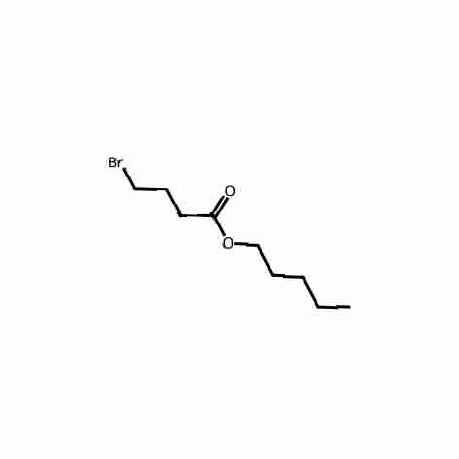 CCCCCOC(=O)CCCBr